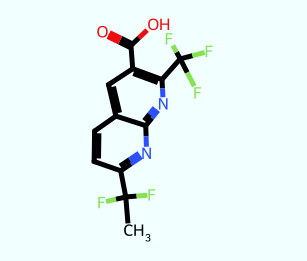 CC(F)(F)c1ccc2cc(C(=O)O)c(C(F)(F)F)nc2n1